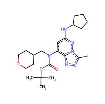 CC(C)(C)OC(=O)N(CC1CCOCC1)c1cc(NC2CCCC2)nn2c(I)nnc12